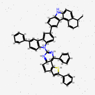 CC1CC=Cc2c1ccc1[nH]c3ccc(-c4ccc5c(c4)c4cc(-c6ccccc6)ccc4n5-c4nc(-c5ccccc5)c5c(ccc6cc(-c7ccccc7)sc65)n4)cc3c21